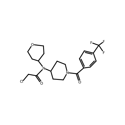 O=C(c1ccc(C(F)(F)F)cc1)N1CCC(N(C(=O)CCl)C2CCOCC2)CC1